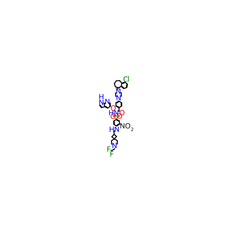 O=C(NS(=O)(=O)c1ccc(NCC2CC3(CCN(CC(F)F)CC3)C2)c([N+](=O)[O-])c1)c1ccc(N2CCN([C@@H]3CCCCc4c(Cl)cccc43)CC2)cc1Oc1cnc2[nH]ccc2c1